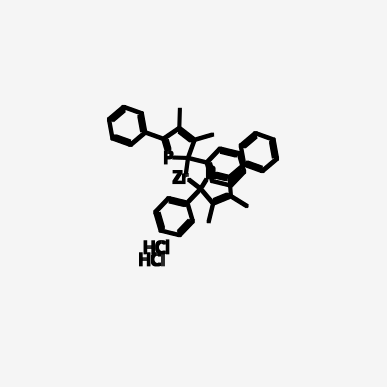 CC1=C(C)[C]([Zr][C]2(c3ccccc3)P=C(c3ccccc3)C(C)=C2C)(c2ccccc2)P=C1c1ccccc1.Cl.Cl